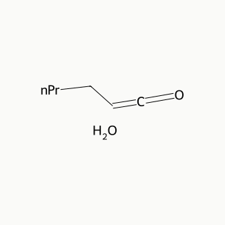 CCCCC=C=O.O